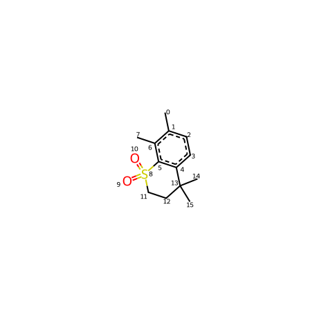 Cc1ccc2c(c1C)S(=O)(=O)CCC2(C)C